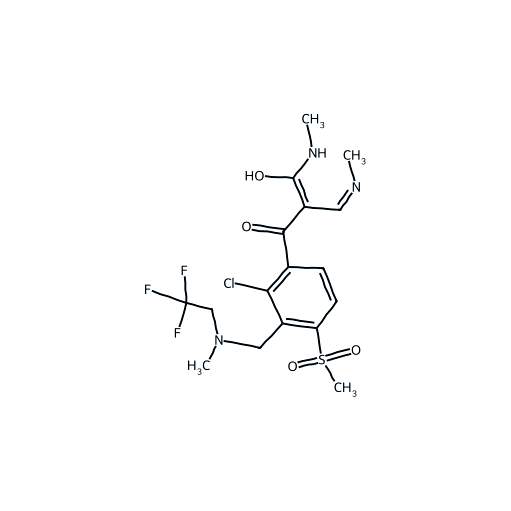 C/N=C\C(C(=O)c1ccc(S(C)(=O)=O)c(CN(C)CC(F)(F)F)c1Cl)=C(\O)NC